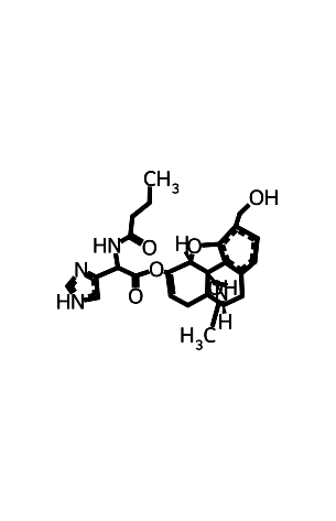 CCCC(=O)NC(C(=O)OC1=CC[C@@]2(O)[C@H]3Cc4ccc(CO)c5c4[C@@]2(CCN3C)[C@H]1O5)c1c[nH]cn1